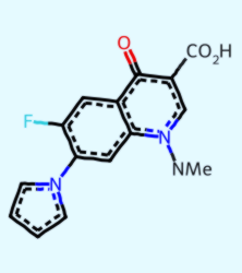 CNn1cc(C(=O)O)c(=O)c2cc(F)c(-n3cccc3)cc21